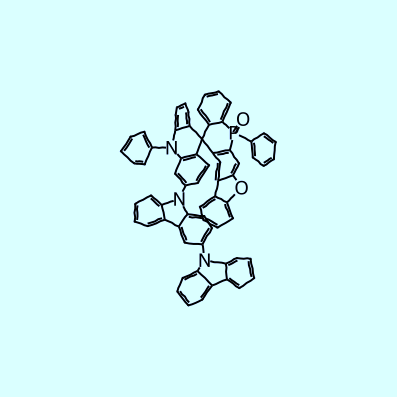 O=P1(c2ccccc2)c2ccccc2C2(c3ccccc3N(c3ccccc3)c3cc(-n4c5ccccc5c5cc(-n6c7ccccc7c7ccccc76)ccc54)ccc32)c2cc3c(cc21)oc1ccccc13